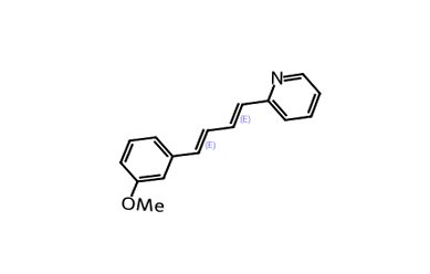 COc1cccc(/C=C/C=C/c2ccccn2)c1